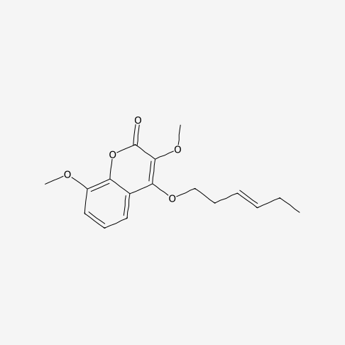 CCC=CCCOc1c(OC)c(=O)oc2c(OC)cccc12